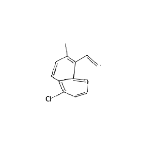 [CH]=Cc1c(C)ccc2c(Cl)cccc12